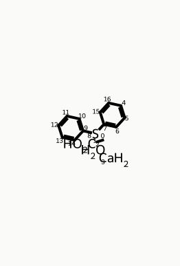 CC(=O)O.O.[CaH2].c1ccc(Sc2ccccc2)cc1